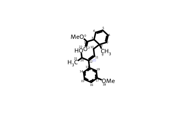 COC(=O)C1C=CC=CC1(C)C/C=C(/c1cccc(OC)c1)C(C)O